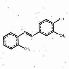 Cc1cc(N=Nc2ccccc2C)ccc1O